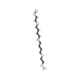 CCOCCOCCCC[N]CCCCOCCOCC